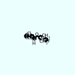 C[C@@H]1CC(C(=O)c2c[nH]c3nc(-c4ncccn4)c(Cl)cc23)C[C@@H](C)N1c1ncc(F)cc1I